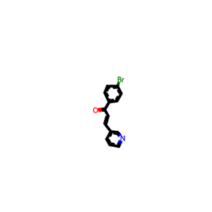 O=C(C=Cc1cccnc1)c1ccc(Br)cc1